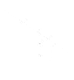 CCCCCCCCCCOC(=O)CCCCCCCC(=O)OCC(COC(=O)CCC(OCCCCCCC)OCCCCCCC)COC(=O)OCCCN(CC)CC